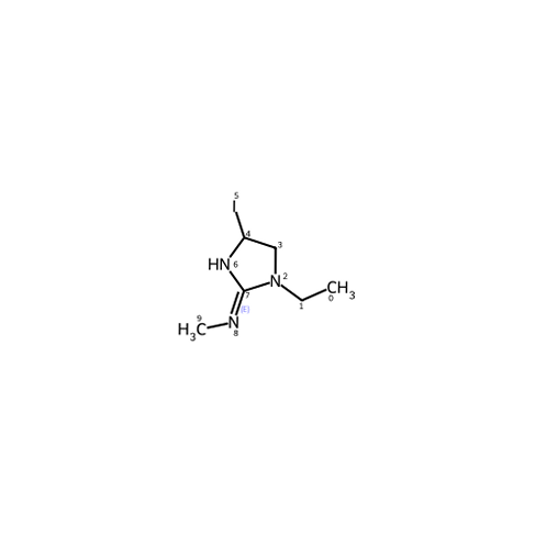 CCN1CC(I)N/C1=N\C